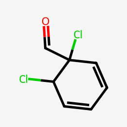 O=CC1(Cl)C=CC=CC1Cl